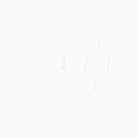 CCCC(=O)OC1CC(C)CCC1C(C)C